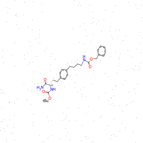 CC(C)(C)OC(=O)N[C@@H](CCc1ccc(CCCCNC(=O)OCc2ccccc2)cc1)C(N)=O